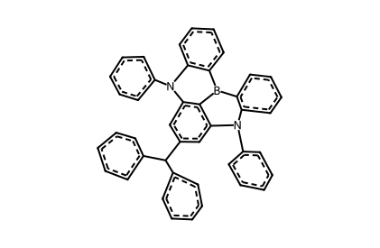 c1ccc(C(c2ccccc2)c2cc3c4c(c2)N(c2ccccc2)c2ccccc2B4c2ccccc2N3c2ccccc2)cc1